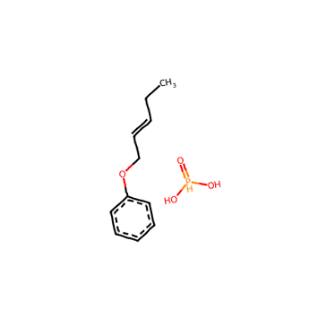 CCC=CCOc1ccccc1.O=[PH](O)O